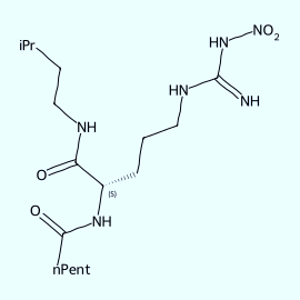 CCCCCC(=O)N[C@@H](CCCNC(=N)N[N+](=O)[O-])C(=O)NCCC(C)C